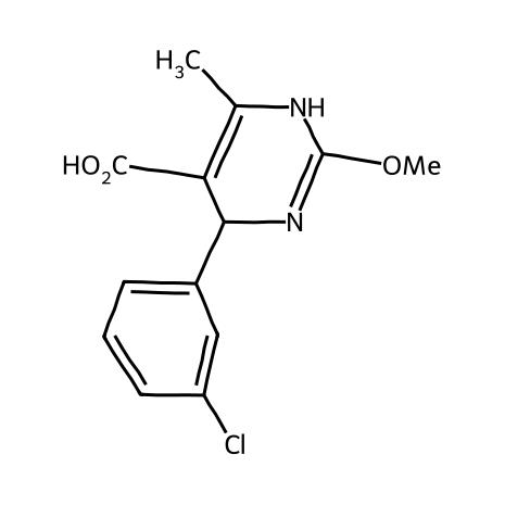 COC1=NC(c2cccc(Cl)c2)C(C(=O)O)=C(C)N1